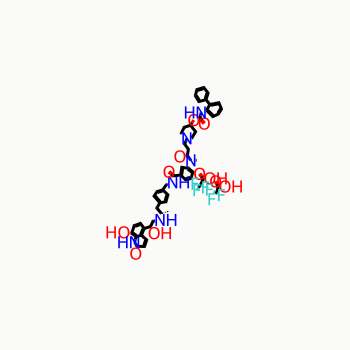 C[C@@H](Cc1ccc(CNC(=O)c2cccc(N(C)C(=O)CCN3CCC(OC(=O)Nc4ccccc4-c4ccccc4)CC3)c2)cc1)NC[C@H](O)c1ccc(O)c2[nH]c(=O)ccc12.O=C(O)C(F)(F)F.O=C(O)C(F)(F)F